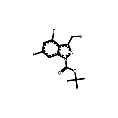 CC(C)(C)OC(=O)n1nc(CBr)c2c(F)cc(F)cc21